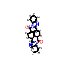 O=C1C2CC=c3c4c(c(=O)n5c3nc3ccccc35)=CCC(C=42)c2nc3ccccc3n21